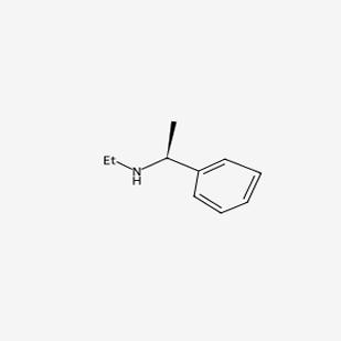 CCN[C@@H](C)c1ccccc1